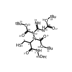 CCCCCCCCCCNC(=O)C(CS)N(C(=O)OC(C)(C)C)N(C(=N)NC(=O)OC(C)(C)C)C(=O)OC(C)(C)C